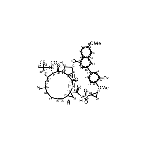 COc1ccc2c(O[C@@H]3C[C@H]4C(=O)N[C@]5(C(=O)NS(=O)(=O)C6CC6)C[C@H]5/C=C\CC[C@@H](C)C[C@@H](C)[C@H](N(C(=O)O)C(C)(C)C(F)(F)F)C(=O)N4C3)nc(-c3ccc(OC)c(F)c3)cc2c1